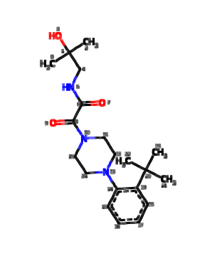 CC(C)(O)CNC(=O)C(=O)N1CCN(c2ccccc2C(C)(C)C)CC1